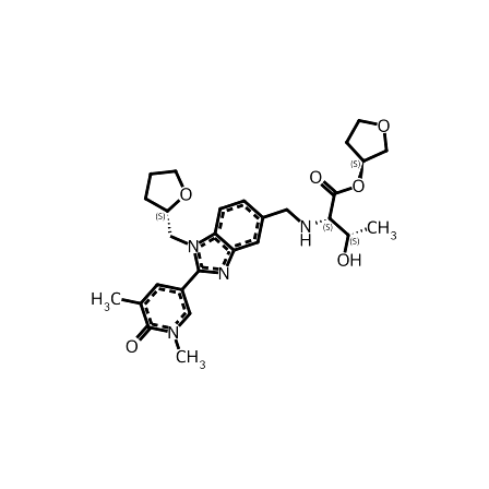 Cc1cc(-c2nc3cc(CN[C@H](C(=O)O[C@H]4CCOC4)[C@H](C)O)ccc3n2C[C@@H]2CCCO2)cn(C)c1=O